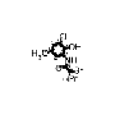 Cc1cc(Cl)c(O)c(NC(=O)[C@H](Br)C(C)C)c1